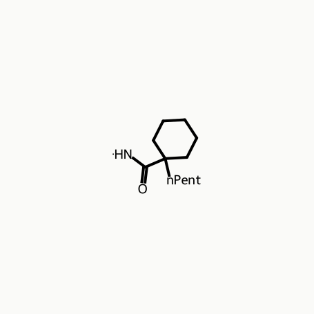 CCCCCC1(C([NH])=O)CCCCC1